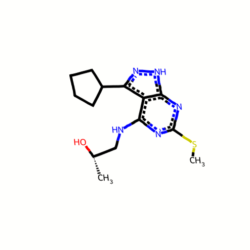 CSc1nc(NC[C@H](C)O)c2c(C3CCCC3)n[nH]c2n1